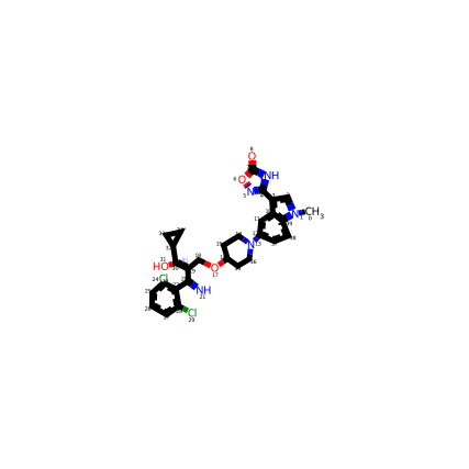 Cn1cc(-c2noc(=O)[nH]2)c2cc(N3CCC(OC/C(C(=N)c4c(Cl)cccc4Cl)=C(/O)C4CC4)CC3)ccc21